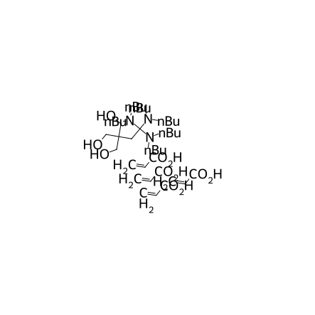 C=CC(=O)O.C=CC(=O)O.C=CC(=O)O.C=CC(=O)O.CCCCN(CCCC)C(CC(CO)(CO)CO)(N(CCCC)CCCC)N(CCCC)CCCC